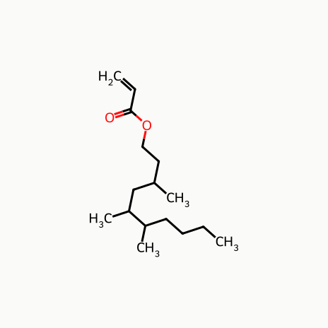 C=CC(=O)OCCC(C)CC(C)C(C)CCCC